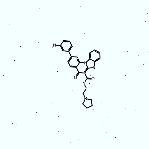 Nc1cccc(-c2ccc3c(=O)c(C(=O)NCCN4CCCC4)c4sc5ccccc5n4c3n2)c1